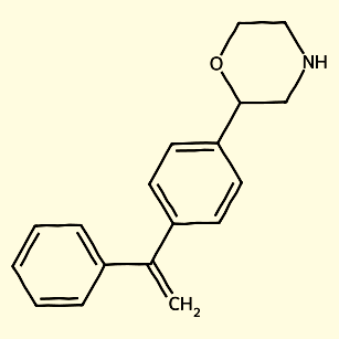 C=C(c1ccccc1)c1ccc(C2CNCCO2)cc1